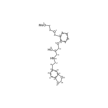 COCCOCc1ccccc1OCC(O)CNCCc1ccc2c(c1)OCO2